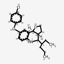 CCCC(CC)C1Nc2ccc(Oc3ccc(Cl)cc3)cc2[C@H]2OCC[C@@H]12